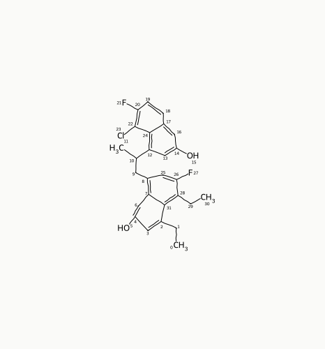 CCc1cc(O)cc2c(CC(C)c3cc(O)cc4ccc(F)c(Cl)c34)cc(F)c(CC)c12